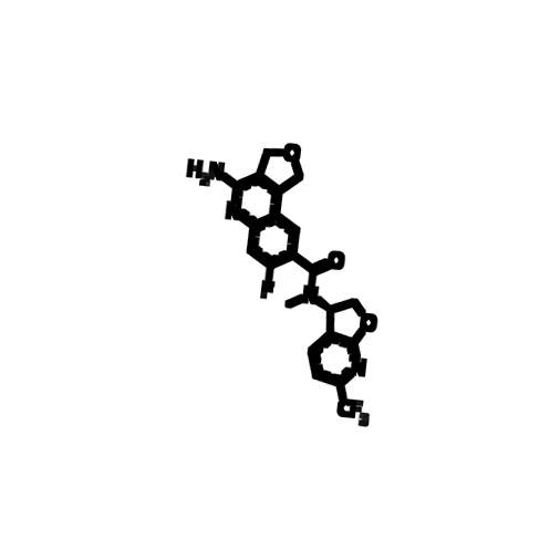 CN(C(=O)c1cc2c3c(c(N)nc2cc1F)COC3)[C@H]1COc2nc(C(F)(F)F)ccc21